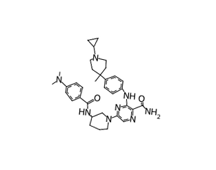 CN(C)c1ccc(C(=O)N[C@@H]2CCCN(c3cnc(C(N)=O)c(Nc4ccc(C5(C)CCN(C6CC6)CC5)cc4)n3)C2)cc1